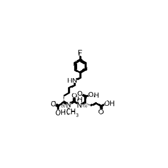 CN(C(=O)N[C@@H](CCC(=O)O)C(=O)O)[C@@H](CCCCNCc1ccc(F)cc1)C(=O)O